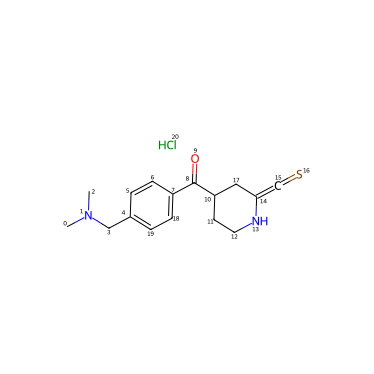 CN(C)Cc1ccc(C(=O)C2CCNC(=C=S)C2)cc1.Cl